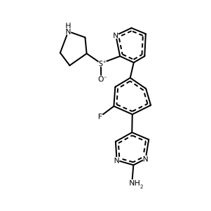 Nc1ncc(-c2ccc(-c3cccnc3[S+]([O-])C3CCNC3)cc2F)cn1